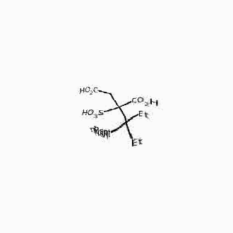 CCCCCC(CC)(CC)C(CC(=O)O)(C(=O)O)S(=O)(=O)O.[NaH]